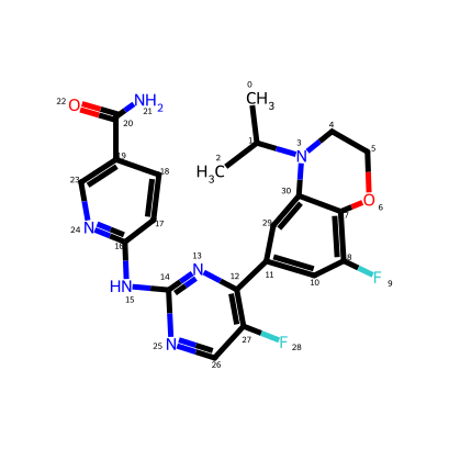 CC(C)N1CCOc2c(F)cc(-c3nc(Nc4ccc(C(N)=O)cn4)ncc3F)cc21